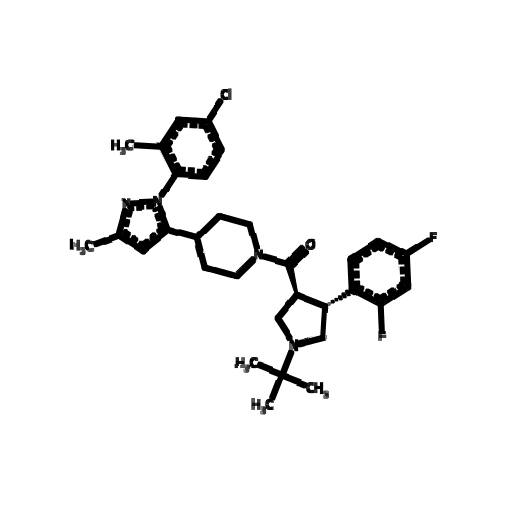 Cc1cc(C2CCN(C(=O)[C@@H]3CN(C(C)(C)C)C[C@H]3c3ccc(F)cc3F)CC2)n(-c2ccc(Cl)cc2C)n1